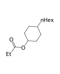 CCCCCCC1CCC(OC(=O)CC)CC1